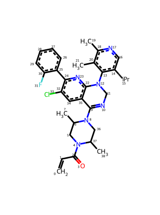 C=CC(=O)N1CC(C)N(C2=NCN(c3c(C(C)C)cnc(C)c3C)c3nc(-c4ccccc4F)c(Cl)cc32)CC1C